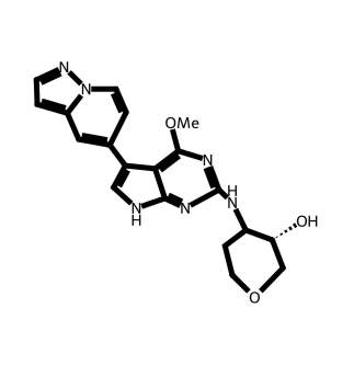 COc1nc(NC2CCOC[C@H]2O)nc2[nH]cc(-c3ccn4nccc4c3)c12